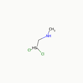 CNC[SiH](Cl)Cl